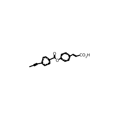 CC#Cc1ccc(C(=O)Oc2ccc(/C=C/C(=O)O)cc2)cc1